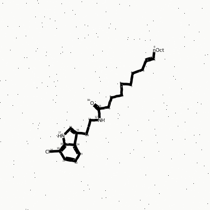 CCCCCCCCC=CCCCCCCCC(=O)NCCc1c[nH]c2c(Cl)cccc12